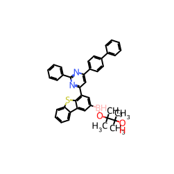 CC(C)(O)C(C)(C)OBc1cc(-c2cc(-c3ccc(-c4ccccc4)cc3)nc(-c3ccccc3)n2)c2sc3ccccc3c2c1